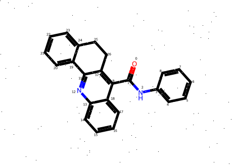 O=C(Nc1ccccc1)c1c2c(nc3ccccc13)-c1ccccc1CC2